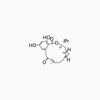 CC(C)[C@@H]1C[C@@H]2C[C@H]2CC/C=C/C(=O)Cc2cc(O)cc(O)c2C(=O)O1